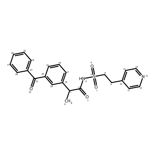 CC(C(=O)NS(=O)(=O)CCc1ccncc1)c1cccc(C(=O)c2ccccc2)c1